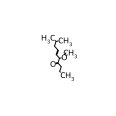 CCCC(=O)C(C=CCC(C)C)OC